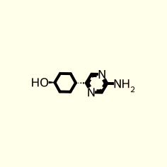 Nc1cnc([C@H]2CC[C@H](O)CC2)cn1